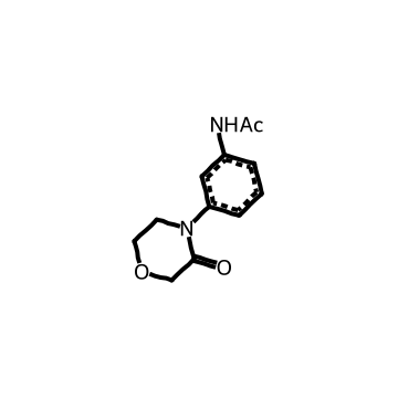 CC(=O)Nc1cccc(N2CCOCC2=O)c1